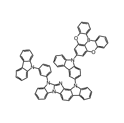 c1cc(-n2c3ccccc3c3ccccc32)cc(-n2c3ccccc3n3c4ccc5c6ccccc6n(-c6ccc7c(c6)c6ccccc6n7-c6cc7c8c(c6)Oc6ccccc6B8c6ccccc6O7)c5c4nc23)c1